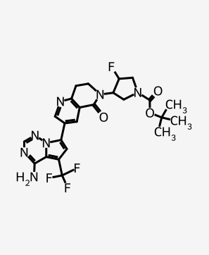 CC(C)(C)OC(=O)N1CC(F)C(N2CCc3ncc(-c4cc(C(F)(F)F)c5c(N)ncnn45)cc3C2=O)C1